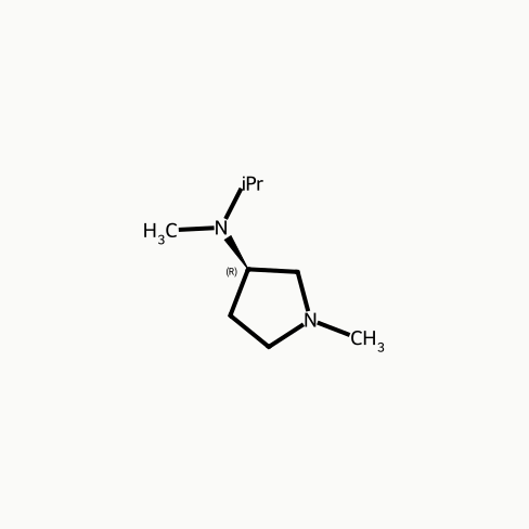 CC(C)N(C)[C@@H]1CCN(C)C1